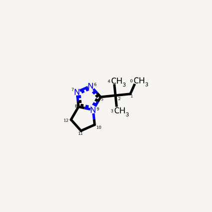 CCC(C)(C)c1nnc2n1CCC2